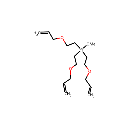 C=CCOCC[Si](CCOCC=C)(CCOCC=C)OC